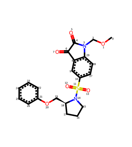 COCN1C(=O)C(=O)c2cc(S(=O)(=O)N3CCC[C@H]3COc3ccccc3)ccc21